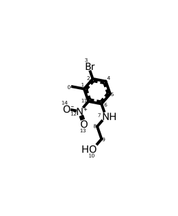 Cc1c(Br)ccc(NCCO)c1[N+](=O)[O-]